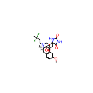 COc1ccc2c(c1)[C@]13CCN(CCC(C)(F)F)[C@H](C2)[C@]1(O)CC[C@@]1(C3)NC(=O)NC1=O